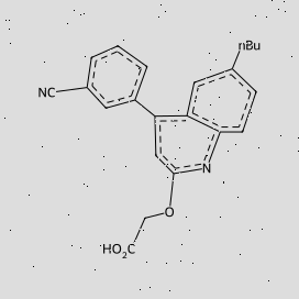 CCCCc1ccc2nc(OCC(=O)O)cc(-c3cccc(C#N)c3)c2c1